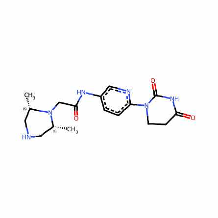 C[C@@H]1CNC[C@H](C)N1CC(=O)Nc1ccc(N2CCC(=O)NC2=O)nc1